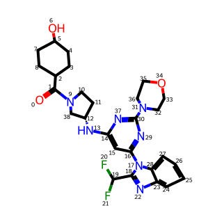 O=C(C1CCC(O)CC1)N1CC[C@H](Nc2cc(-n3c(C(F)F)nc4ccccc43)nc(N3CCOCC3)n2)C1